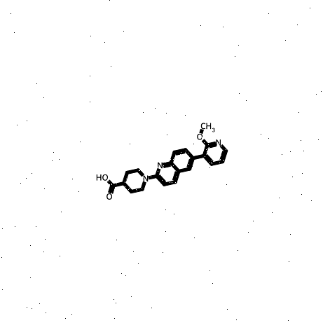 COc1ncccc1-c1ccc2nc(N3CCC(C(=O)O)CC3)ccc2c1